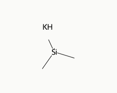 C[Si](C)C.[KH]